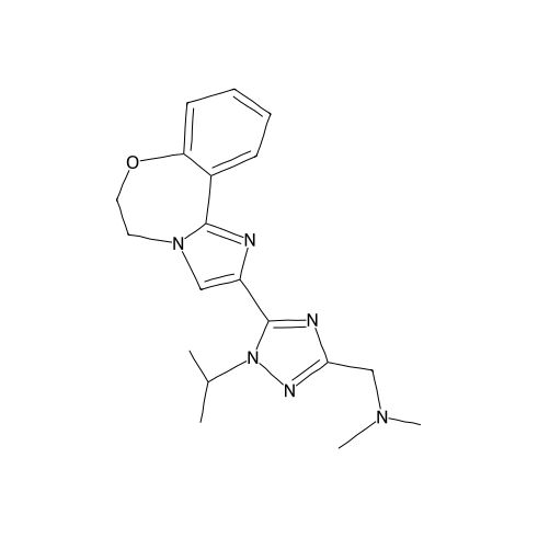 CC(C)n1nc(CN(C)C)nc1-c1cn2c(n1)-c1ccccc1OCC2